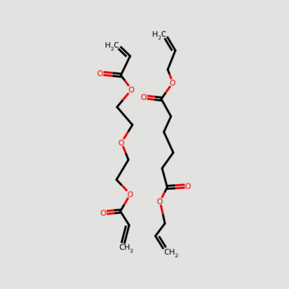 C=CC(=O)OCCOCCOC(=O)C=C.C=CCOC(=O)CCCCC(=O)OCC=C